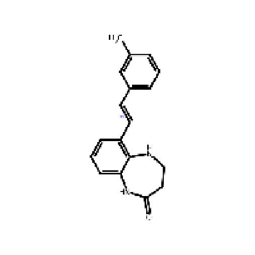 Cc1cccc(/C=C/c2cccc3c2NCCC(=O)N3)c1